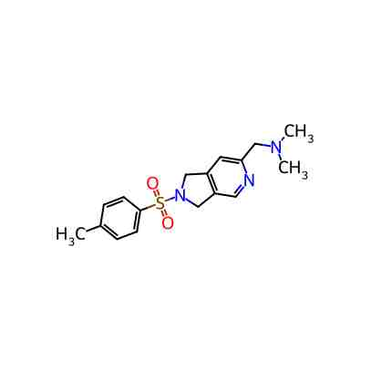 Cc1ccc(S(=O)(=O)N2Cc3cnc(CN(C)C)cc3C2)cc1